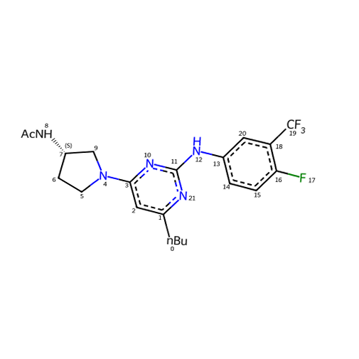 CCCCc1cc(N2CC[C@H](NC(C)=O)C2)nc(Nc2ccc(F)c(C(F)(F)F)c2)n1